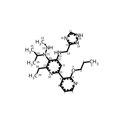 CCCOc1ncccc1-c1cc(NCc2nc[nH]n2)c(N(NC)C(C)C)c(CC)n1